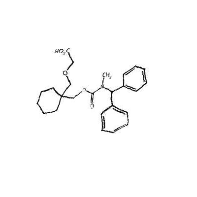 CN(C(=O)OCC1(COCC(=O)O)CCCCC1)C(c1ccccc1)c1ccccc1